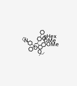 CCC(C)=O.CCCCCCOc1cc(C2=CC(c3ccccc3)(c3ccc(N4CCCC4)cc3)Oc3ccc4cc(OC)c(OC)cc4c32)ccc1-c1ccccc1